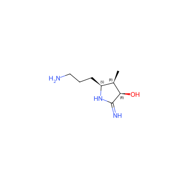 C[C@@H]1[C@H](CCCN)NC(=N)[C@@H]1O